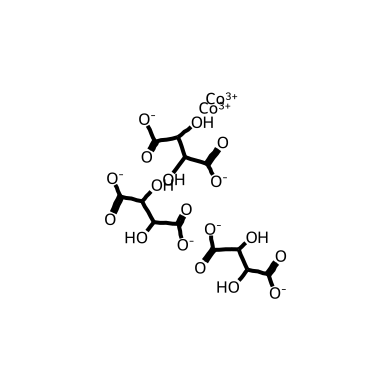 O=C([O-])C(O)C(O)C(=O)[O-].O=C([O-])C(O)C(O)C(=O)[O-].O=C([O-])C(O)C(O)C(=O)[O-].[Co+3].[Co+3]